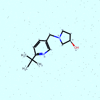 CC(C)(C)c1ccc(CN2CC[C@@H](O)C2)cn1